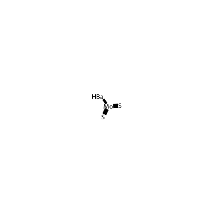 [S]=[Mo](=[S])[BaH]